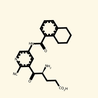 N#Cc1ncc(NC(=O)c2cccc3c2CCCC3)cc1C(=O)[C@@H](N)CCC(=O)O